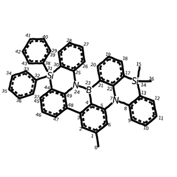 Cc1cc2c3c(c1)N1c4ccccc4[Si](C)(C)c4cccc(c41)B3N1c3ccccc3[Si](c3ccccc3)(c3ccccc3)c3cccc-2c31